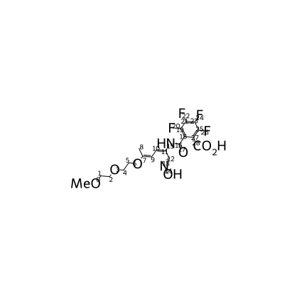 COCCOCCO/C(C)=C/C=C(\C=N\O)NC(=O)c1c(F)c(F)c(F)c(F)c1C(=O)O